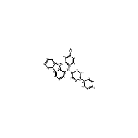 Clc1ccc(N(c2cccc3c2oc2ccccc23)C2C=CC(c3ccccc3)=CC2)cc1